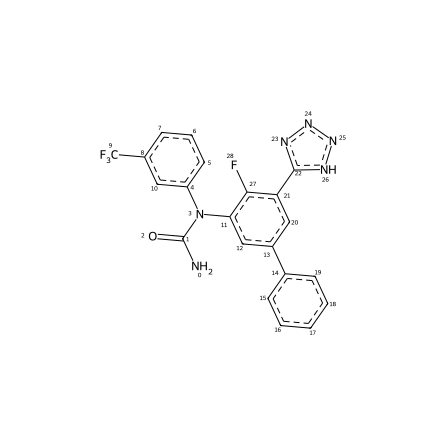 NC(=O)N(c1cccc(C(F)(F)F)c1)c1cc(-c2ccccc2)cc(-c2nnn[nH]2)c1F